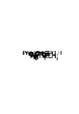 CC(C)c1ccc(-c2noc3cc(Oc4cccc(OC(C)(C)C(=O)O)c4)ccc23)cc1